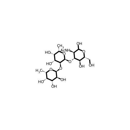 CC(=O)N[C@H]1C(O)O[C@H](CO)[C@@H](O)[C@@H]1O[C@@H]1O[C@@H](C)[C@@H](O)[C@@H](O)[C@@H]1O[C@@H]1O[C@@H](C)[C@@H](O)[C@@H](O)[C@@H]1O